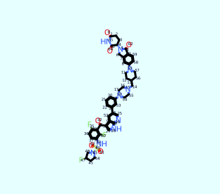 O=C1CCC(N2Cc3cc(N4CCC(CN5CCN(c6cccc(-c7cnc8[nH]cc(C(=O)c9c(F)ccc(NS(=O)(=O)N%10CC[C@@H](F)C%10)c9F)c8c7)c6)CC5)CC4)ccc3C2=O)C(=O)N1